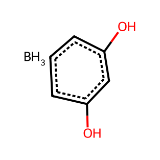 B.Oc1cccc(O)c1